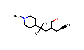 C#CCC(CO)CC(C)(C)C1CCN(C(=O)O)CC1